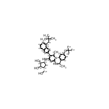 Cc1nc(N[C@H](C)c2ccc(OC(F)(F)F)cc2)nc(N[C@@H]2C[C@H](CO)[C@@H](O)[C@H]2O)c1-c1nc2c(CC(C)(C)C)nccc2s1